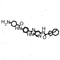 NC1CCC(C(=O)Nc2ccc(-c3nc4cc(NC(=O)C56CC7CCCC(C5)C(C7)C6)ncc4[nH]3)cc2)CC1